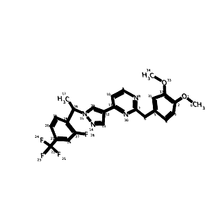 COc1ccc(Cc2nccc(-c3cnn(C(C)c4ccc(C(F)(F)F)cc4F)c3)n2)cc1OC